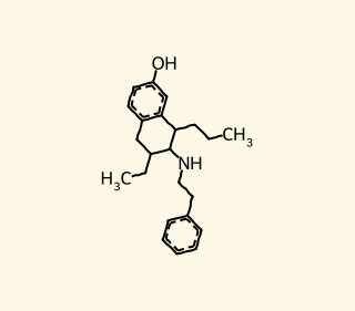 CCCC1c2cc(O)ccc2CC(CC)C1NCCc1ccccc1